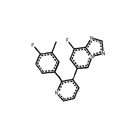 Cc1cc(-c2ncccc2-c2cc(F)c3ncnn3c2)ccc1F